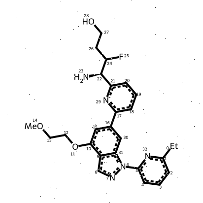 CCc1cccc(-n2ncc3c(OCCOC)cc(-c4cccc([C@@H](N)C(F)CCO)n4)cc32)n1